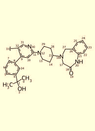 CC(C)(O)c1cccc(-c2cc(N3CCC(N4CC(=O)Nc5ccccc5C4)CC3)ncc2I)c1